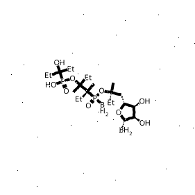 B[C@@H]1O[C@H](C[C@@](C)(CC)OP(B)(=O)[C@](C)(CC)C(C)(CC)OP(=O)(O)C(O)(CC)CC)[C@@H](O)[C@H]1O